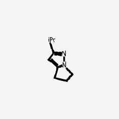 CC(C)c1cc2n(n1)CCC2